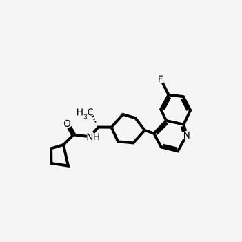 C[C@@H](NC(=O)C1CCC1)C1CCC(c2ccnc3ccc(F)cc23)CC1